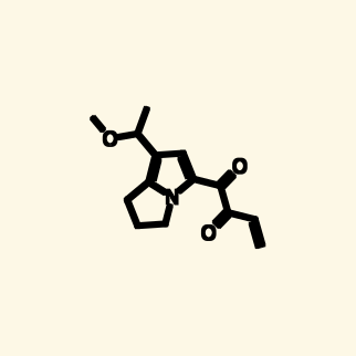 C=CC(=O)C(=O)c1cc(C(C)OC)c2n1CCC2